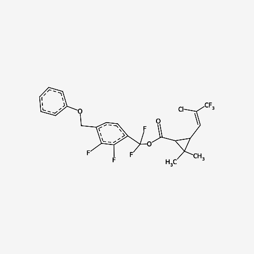 CC1(C)C(C=C(Cl)C(F)(F)F)C1C(=O)OC(F)(F)c1ccc(COc2ccccc2)c(F)c1F